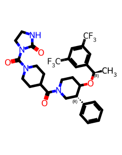 C[C@@H](OC1CCN(C(=O)C2CCN(C(=O)N3CCNC3=O)CC2)C[C@H]1c1ccccc1)c1cc(C(F)(F)F)cc(C(F)(F)F)c1